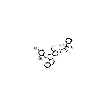 Cc1cnc(CN(Cc2ccc(CNC(=O)C(C)(C)c3ccccc3)cc2CO)C2CCCc3cccnc32)c(C)c1